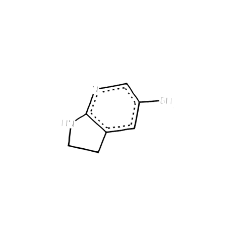 Bc1cnc2c(c1)CCN2